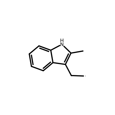 [CH2]Cc1c(C)[nH]c2ccccc12